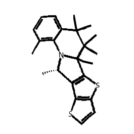 Cc1cccc2c1N1[C@@H](C)c3c(sc4ccsc34)C1(C)C(C)(C)C2(C)C